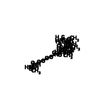 CC(=O)N[C@@H](CS)C(=O)NCCOCCOCCOCCOCCC(=O)NCC(=O)N[C@@H](CC(C)C)C(=O)N[C@@H](Cc1ccccc1)C(=O)N[C@@H](Cc1cnc[nH]1)C(=O)N[C@@H](C)C(=O)N[C@@H](CC(C)C)C(=O)N[C@@H](CC(C)C)C(C)=O